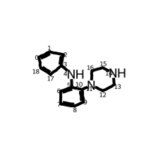 c1ccc(Nc2ccccc2N2CCNCC2)cc1